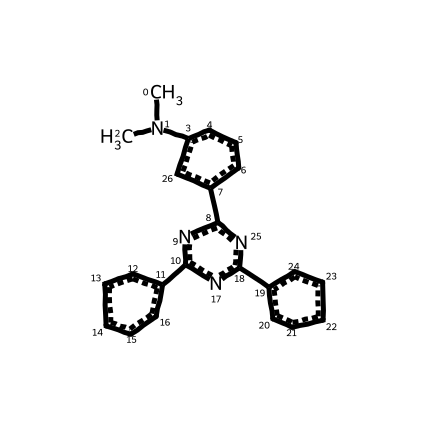 CN(C)c1cccc(-c2nc(-c3ccccc3)nc(-c3ccccc3)n2)c1